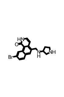 O=c1[nH]ccc2c(CNC3CCNC3)cc3ccc(Br)cc3c12